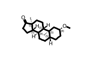 CO[C@@H]1CC[C@@H]2CC[C@@H]3[C@H](CC[C@]4(C)C(=O)CC[C@@H]34)[C@@]2(C)C1